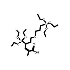 CCO[Si](CCCSCCC(C=C(C)C(=O)O)[Si](OCC)(OCC)OCC)(OCC)OCC